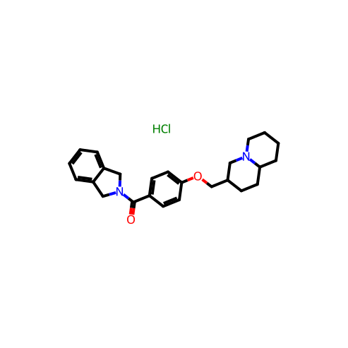 Cl.O=C(c1ccc(OCC2CCC3CCCCN3C2)cc1)N1Cc2ccccc2C1